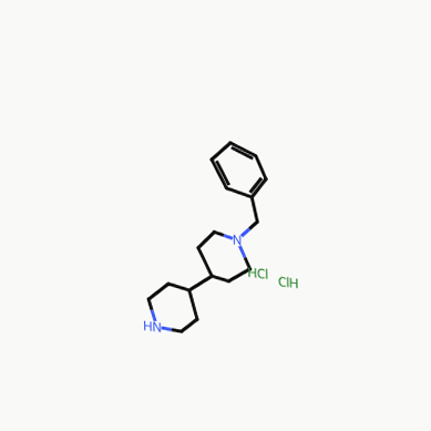 Cl.Cl.c1ccc(CN2CCC(C3CCNCC3)CC2)cc1